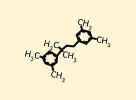 Cc1cc(C)cc(CCC(C)(C)c2cc(C)cc(C)c2)c1